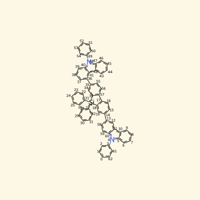 c1ccc(-n2c3ccccc3c3cc(-c4ccc5c(c4)[Si](c4ccccc4)(c4ccccc4)c4cc(-c6cccc7c6c6ccccc6n7-c6ccccc6)ccc4-5)ccc32)cc1